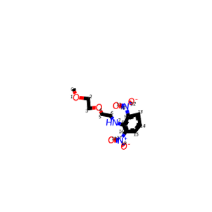 COCCOCCNc1c([N+](=O)[O-])cccc1[N+](=O)[O-]